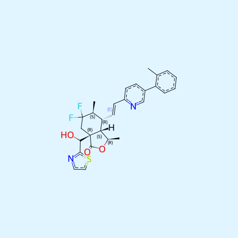 Cc1ccccc1-c1ccc(/C=C/[C@@H]2[C@@H]3[C@@H](C)OC(=O)[C@]3(C(O)c3nccs3)CC(F)(F)[C@H]2C)nc1